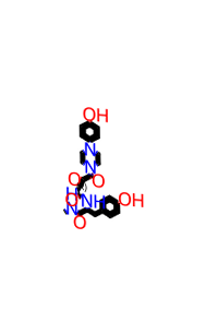 CNC(=O)C(Cc1ccc(O)cc1)NC(=O)[C@@H]1OC1C(=O)N1CCN(c2ccc(O)cc2)CC1